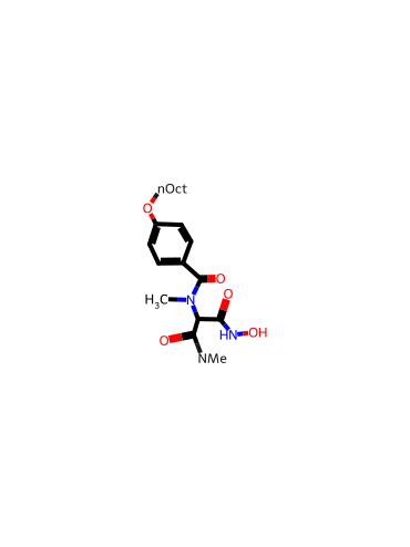 CCCCCCCCOc1ccc(C(=O)N(C)C(C(=O)NC)C(=O)NO)cc1